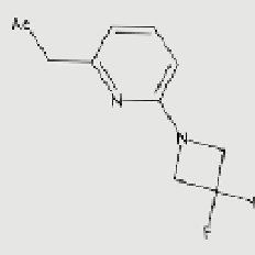 CC(=O)Cc1cccc(N2CC(F)(F)C2)n1